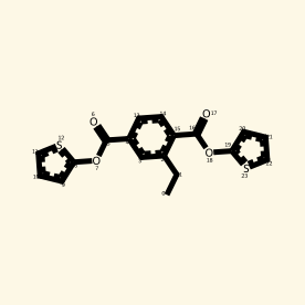 CCc1cc(C(=O)Oc2cccs2)ccc1C(=O)Oc1cccs1